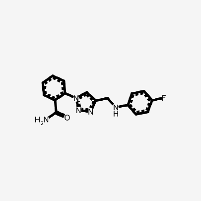 NC(=O)c1ccccc1-n1cc(CNc2ccc(F)cc2)nn1